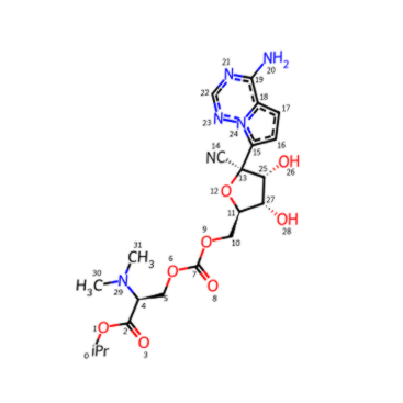 CC(C)OC(=O)[C@H](COC(=O)OC[C@H]1O[C@@](C#N)(c2ccc3c(N)ncnn23)[C@H](O)[C@@H]1O)N(C)C